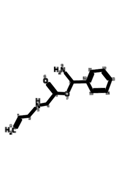 C=CCNCC(=O)OC(N)c1ccccc1